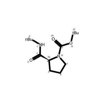 CCCCNC(=O)[C@@H]1CCCN1C(=O)OC(C)(C)C